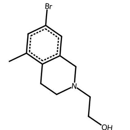 Cc1cc(Br)cc2c1CCN(CCO)C2